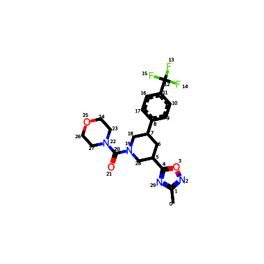 Cc1noc(C2CC(c3ccc(C(F)(F)F)cc3)CN(C(=O)N3CCOCC3)C2)n1